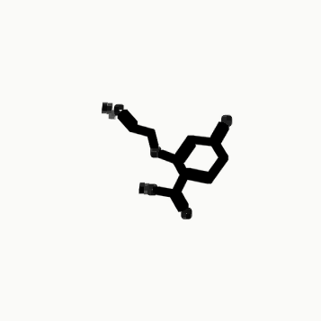 C=CCOC1=CC(=O)CC=C1C(=O)O